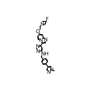 Cn1cc(-c2ccc(CNc3cc(-c4cnc5cc(OCCN6CC(F)C6)ccn45)ncn3)cc2)cn1